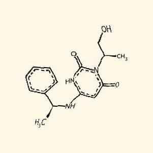 C[C@H](Nc1cc(=O)n([C@H](C)CO)c(=O)[nH]1)c1ccccc1